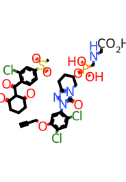 C#CCOc1cc(-n2nc3n(c2=O)CCCC3)c(Cl)cc1Cl.CS(=O)(=O)c1ccc(C(=O)C2C(=O)CCCC2=O)c(Cl)c1.O=C(O)CNCP(=O)(O)O